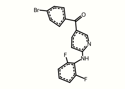 O=C(c1ccc(Br)cc1)c1ccc(Nc2c(F)cccc2F)nc1